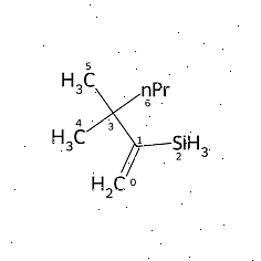 C=C([SiH3])C(C)(C)CCC